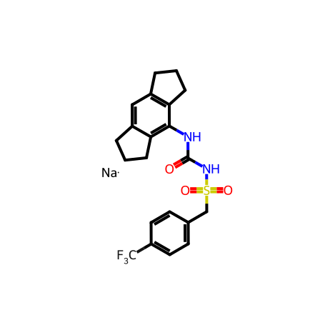 O=C(Nc1c2c(cc3c1CCC3)CCC2)NS(=O)(=O)Cc1ccc(C(F)(F)F)cc1.[Na]